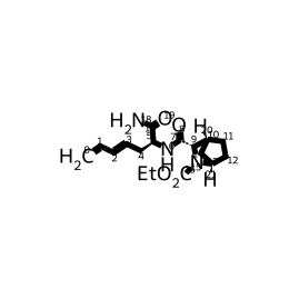 C=C/C=C/C[C@H](NC(=O)[C@@H]1[C@H]2CC[C@H](C2)N1C(=O)OCC)C(N)=O